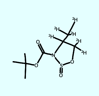 [2H]C([2H])([2H])C1([2H])N(C(=O)OC(C)(C)C)S(=O)OC1([2H])[2H]